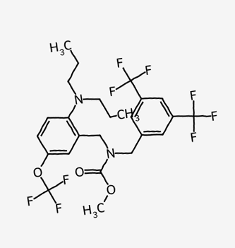 CCCN(CCC)c1ccc(OC(F)(F)F)cc1CN(Cc1cc(C(F)(F)F)cc(C(F)(F)F)c1)C(=O)OC